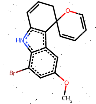 COc1cc(Br)c2[nH]c3c(c2c1)C1(C=CC=CO1)CC=C3